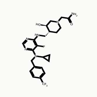 NC(=O)CN1CC[C@H](CNc2ncnc(N(Cc3ccc(C(F)(F)F)cc3)C3CC3)c2F)[C@@H](O)C1